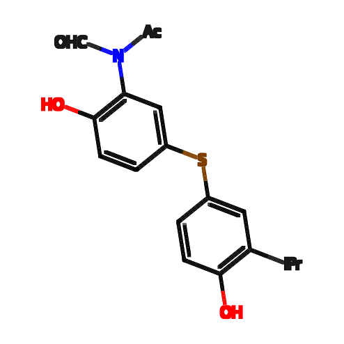 CC(=O)N(C=O)c1cc(Sc2ccc(O)c(C(C)C)c2)ccc1O